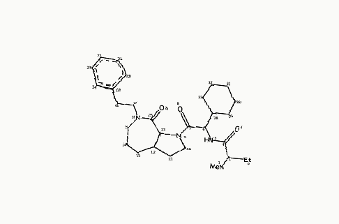 CCC(NC)C(=O)NC(C(=O)N1CCC2CCCN(CCc3ccccc3)C(=O)C21)C1CCCCC1